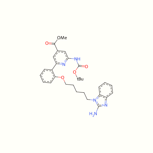 COC(=O)c1cc(NC(=O)OC(C)(C)C)nc(-c2ccccc2OCCCCCn2c(N)nc3ccccc32)c1